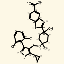 CC1(OCc2c(-c3c(Cl)cccc3Cl)noc2C2CC2)CCC(O)(c2nc3cc(C(=O)O)ccc3s2)CC1